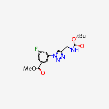 COC(=O)c1cc(F)cc(-n2cc(CNC(=O)OC(C)(C)C)nn2)c1